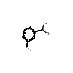 Cc1cccc(C(C#N)C#N)c1